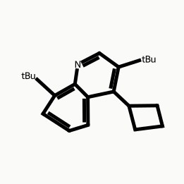 CC(C)(C)c1cnc2c(C(C)(C)C)cccc2c1C1CCC1